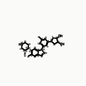 Cc1nc(N2CC(O)C(O)C2)cc(-n2ncc3cc(C)c([C@H]4CCNC[C@H]4F)cc32)n1